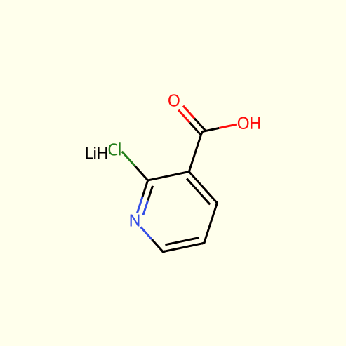 O=C(O)c1cccnc1Cl.[LiH]